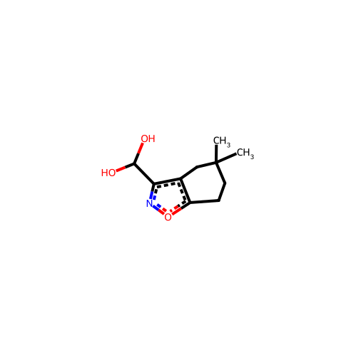 CC1(C)CCc2onc(C(O)O)c2C1